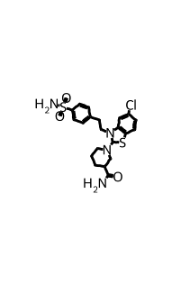 NC(=O)C1CCCN(C2Sc3ccc(Cl)cc3N2CCc2ccc(S(N)(=O)=O)cc2)C1